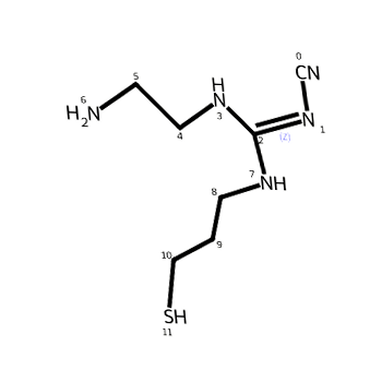 N#C/N=C(\NCCN)NCCCS